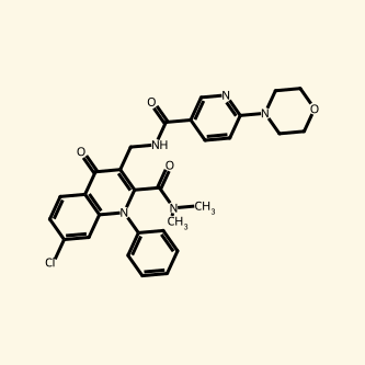 CN(C)C(=O)c1c(CNC(=O)c2ccc(N3CCOCC3)nc2)c(=O)c2ccc(Cl)cc2n1-c1ccccc1